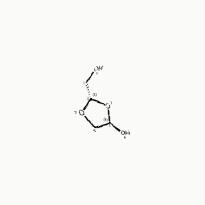 OC[C@H]1OC[C@H](O)O1